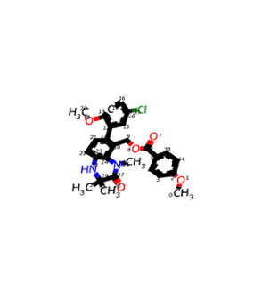 COc1ccc(C(=O)OCc2c(-c3cc(Cl)ccc3OC)ccc3c2N(C)C(=O)C(C)(C)N3)cc1